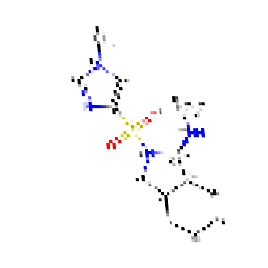 Cn1cnc(S(=O)(=O)N2CC3CCCCC3[C@@H]2NC(=O)O)c1